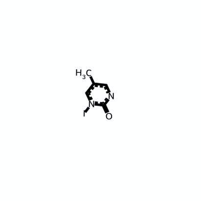 Cc1cnc(=O)n(I)c1